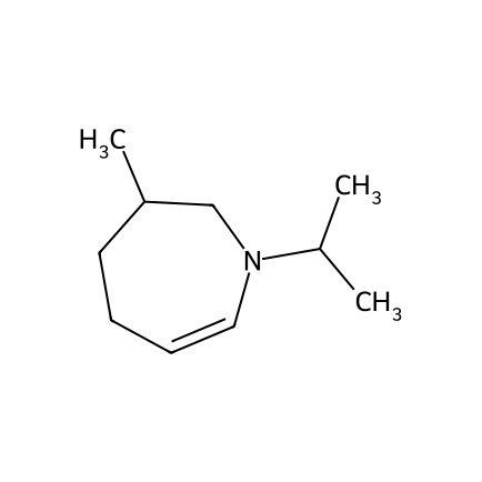 CC1CCC=CN(C(C)C)C1